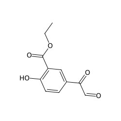 CCOC(=O)c1cc(C(=O)C=O)ccc1O